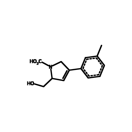 Cc1cccc(C2=CC(CO)N(C(=O)O)C2)c1